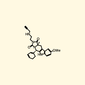 C#CCNCCN1C(=O)N2[C@H](C3=CC=CCC3)c3[nH]c4ccc(OC)cc4c3C[C@@]2(C)C1=O